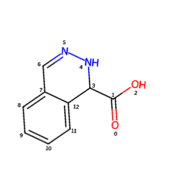 O=C(O)C1NN=Cc2ccccc21